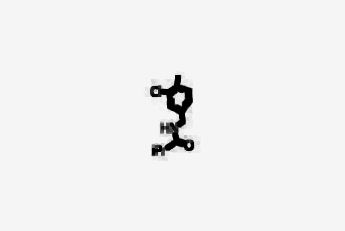 Cc1ccc(CNC(=O)C(C)C)cc1Cl